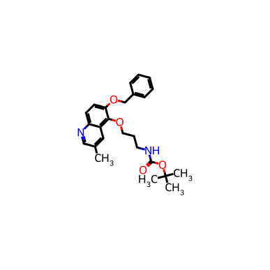 Cc1cnc2ccc(OCc3ccccc3)c(OCCCNC(=O)OC(C)(C)C)c2c1